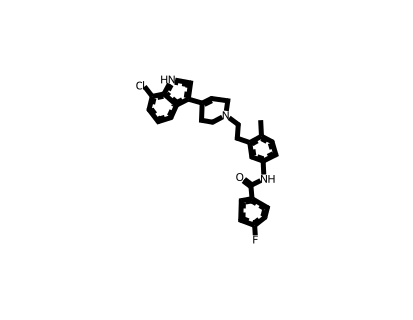 Cc1ccc(NC(=O)c2ccc(F)cc2)cc1CCN1CC=C(c2c[nH]c3c(Cl)cccc23)CC1